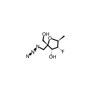 C[C@@H]1O[C@@](CO)(CN=[N+]=[N-])[C@@H](O)[C@H]1F